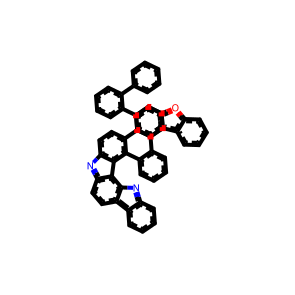 c1ccc(-c2ccccc2-c2ccccc2-c2ccc3c(c2-c2ccccc2-c2cccc4oc5ccccc5c24)-c2c4c(ccc2=N3)=c2ccccc2=N4)cc1